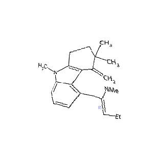 C=C1c2c(n(C)c3cccc(/C(=C/CC)NC)c23)CCC1(C)C